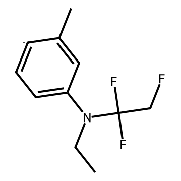 CCN(c1cc[c]c(C)c1)C(F)(F)CF